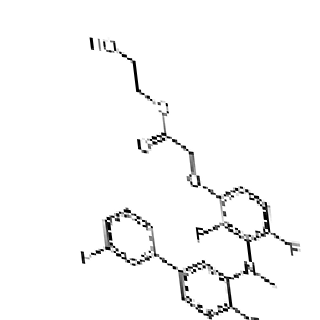 CN(c1cc(-c2cccc(F)c2)ccc1F)c1c(F)ccc(OCC(=O)OCCO)c1F